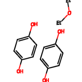 CCOCC.Oc1ccc(O)cc1.Oc1ccc(O)cc1